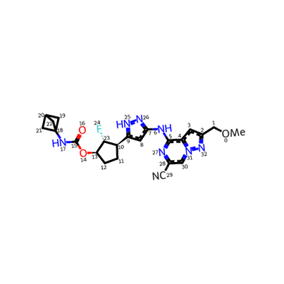 COCc1cc2c(Nc3cc([C@H]4CC[C@@H](OC(=O)NC56CC(C5)C6)[C@@H]4F)[nH]n3)nc(C#N)cn2n1